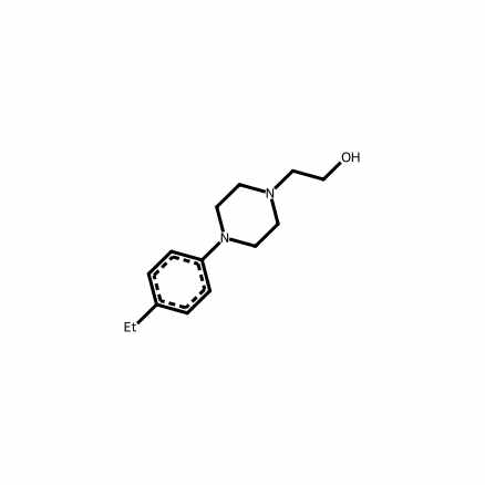 CCc1ccc(N2CCN(CCO)CC2)cc1